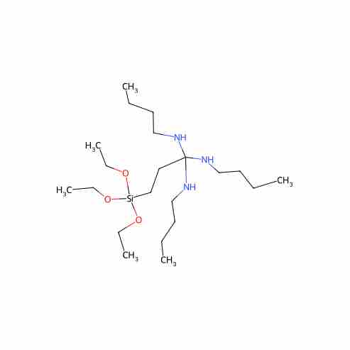 CCCCNC(CC[Si](OCC)(OCC)OCC)(NCCCC)NCCCC